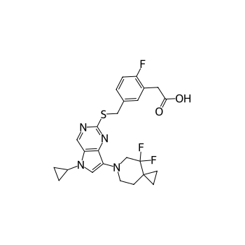 O=C(O)Cc1cc(CSc2ncc3c(n2)c(N2CCC4(CC4)C(F)(F)C2)cn3C2CC2)ccc1F